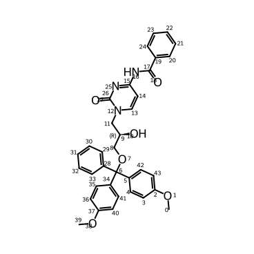 COc1ccc(C(OC[C@H](O)Cn2ccc(NC(=O)c3ccccc3)nc2=O)(c2ccccc2)c2ccc(OC)cc2)cc1